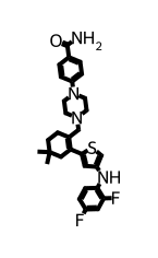 CC1(C)CCC(CN2CCN(c3ccc(C(N)=O)cc3)CC2)=C(c2cc(Nc3ccc(F)cc3F)cs2)C1